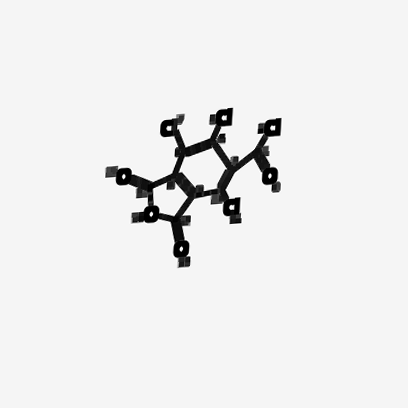 O=C(Cl)c1c(Cl)c(Cl)c2c(c1Cl)C(=O)OC2=O